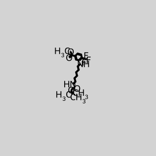 COC(=O)c1ccc(C(F)(F)F)c(NCCCCCCNC(=O)OC(C)(C)C)c1